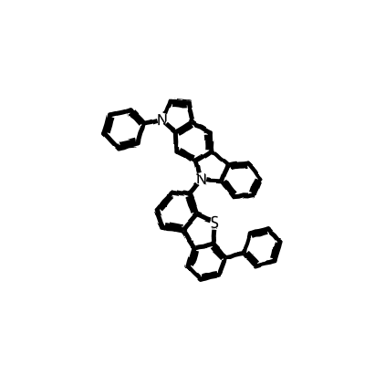 c1ccc(-c2cccc3c2sc2c(-n4c5ccccc5c5cc6ccn(-c7ccccc7)c6cc54)cccc23)cc1